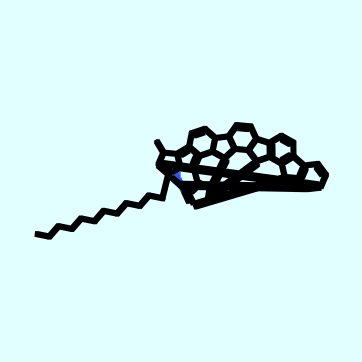 CCCCCCCCCCCCC1N(C)CC23C4=C5C6=C2C(C)C2=c7ccc8c9ccc%10c%11c%12c%13c(c4c4c(c7c8c(c4%13)c%119)C213)=C1C5C(C=C6)C2C=CC%10C%12C12